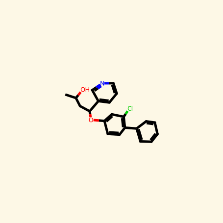 CC(O)CC(Oc1ccc(-c2ccccc2)c(Cl)c1)c1cccnc1